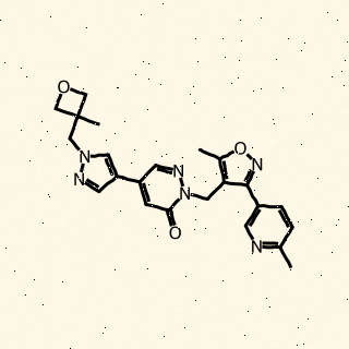 Cc1ccc(-c2noc(C)c2Cn2ncc(-c3cnn(CC4(C)COC4)c3)cc2=O)cn1